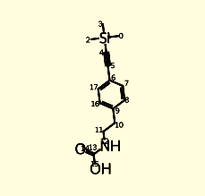 C[Si](C)(C)C#Cc1ccc(CCNC(=O)O)cc1